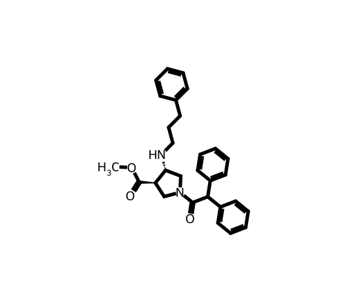 COC(=O)[C@@H]1CN(C(=O)C(c2ccccc2)c2ccccc2)C[C@H]1NCCCc1ccccc1